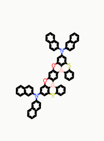 c1ccc2c(c1)Sc1cc(N(c3ccc4ccccc4c3)c3ccc4ccccc4c3)cc3c1B2c1cc2c(cc1O3)Oc1cc(N(c3ccc4ccccc4c3)c3ccc4ccccc4c3)cc3c1B2c1ccccc1S3